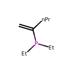 C=C(CCC)P(CC)CC